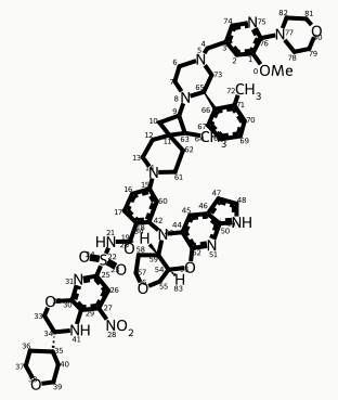 COc1cc(CN2CCN(C3CC4(CCN(c5ccc(C(=O)NS(=O)(=O)c6cc([N+](=O)[O-])c7c(n6)OC[C@@H](C6CCOCC6)N7)c(N6c7cc8cc[nH]c8nc7O[C@H]7COCC[C@@H]76)c5)CC4)C3C)[C@H](c3ccccc3C)C2)cnc1N1CCOCC1